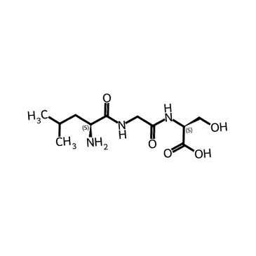 CC(C)C[C@H](N)C(=O)NCC(=O)N[C@@H](CO)C(=O)O